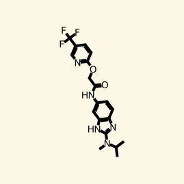 CC(C)N(C)c1nc2ccc(NC(=O)COc3ccc(C(F)(F)F)cn3)cc2[nH]1